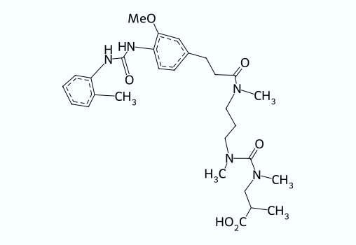 COc1cc(CCC(=O)N(C)CCCN(C)C(=O)N(C)CC(C)C(=O)O)ccc1NC(=O)Nc1ccccc1C